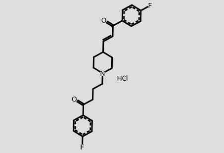 Cl.O=C(C=CC1CCN(CCCC(=O)c2ccc(F)cc2)CC1)c1ccc(F)cc1